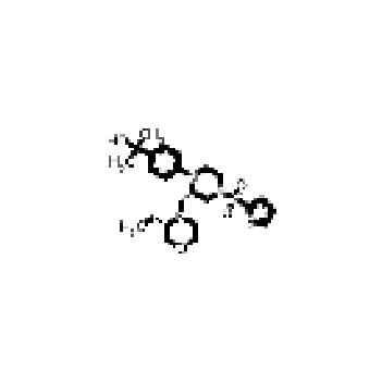 CC[C@H]1COCCN1C[C@H]1CN(S(=O)(=O)c2cccs2)CCN1c1ccc(C(C)(C)O)cc1